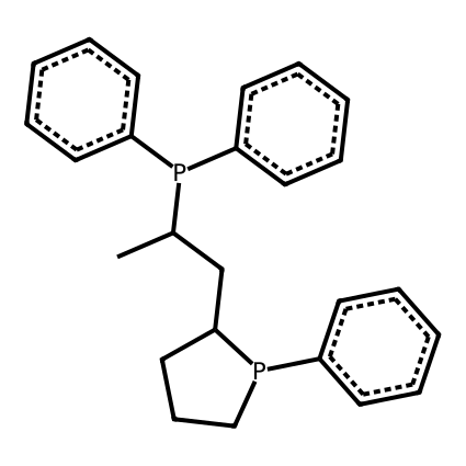 CC(CC1CCCP1c1ccccc1)P(c1ccccc1)c1ccccc1